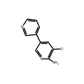 Nc1ncc(-c2cccnc2)cc1Cl